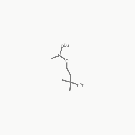 CCCCN(C)OCCC(C)(C)CCC